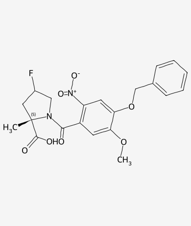 COc1cc(C(=O)N2CC(F)C[C@@]2(C)C(=O)O)c([N+](=O)[O-])cc1OCc1ccccc1